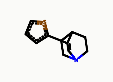 C1=C(c2cccs2)C2CCN1CC2